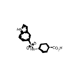 O=C(O)[C@H]1CC[C@H](NS(=O)(=O)c2ccc3[nH]ccc3c2)CC1